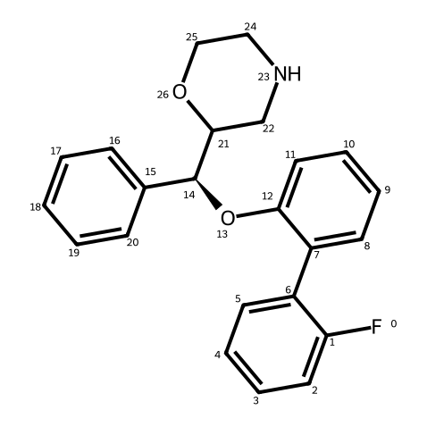 Fc1ccccc1-c1ccccc1O[C@@H](c1ccccc1)C1CNCCO1